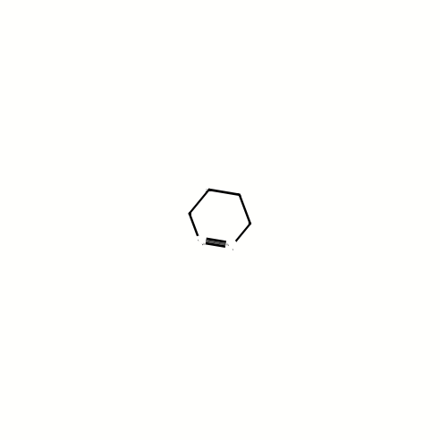 [C]1CCN=NC1